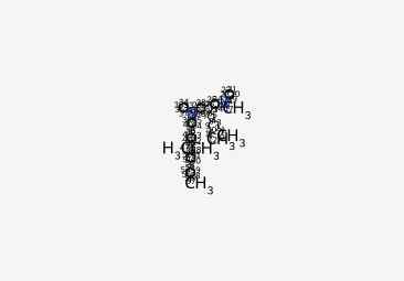 CCCCCCC1(CCCCCC)c2cc(N(C)c3ccccc3)ccc2-c2ccc(N(c3ccccc3)c3ccc(-c4ccc(C(C)(C)c5ccc(-c6ccc(C)cc6)cc5)cc4)cc3)cc21